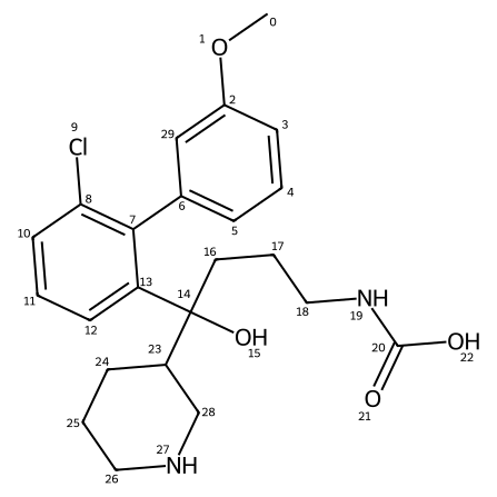 COc1cccc(-c2c(Cl)cccc2C(O)(CCCNC(=O)O)C2CCCNC2)c1